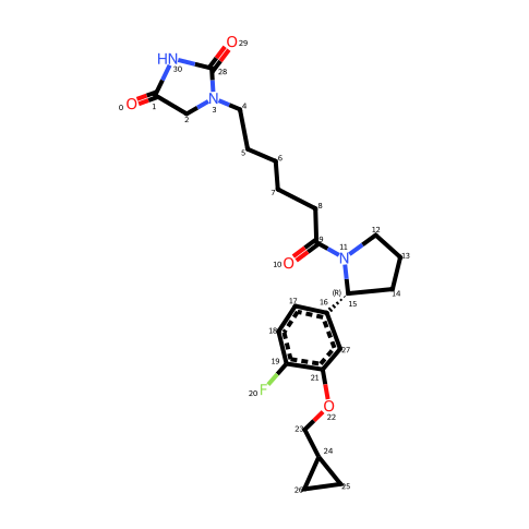 O=C1CN(CCCCCC(=O)N2CCC[C@@H]2c2ccc(F)c(OCC3CC3)c2)C(=O)N1